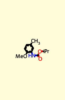 COc1ccc(C)cc1NC(=O)OC(C)C